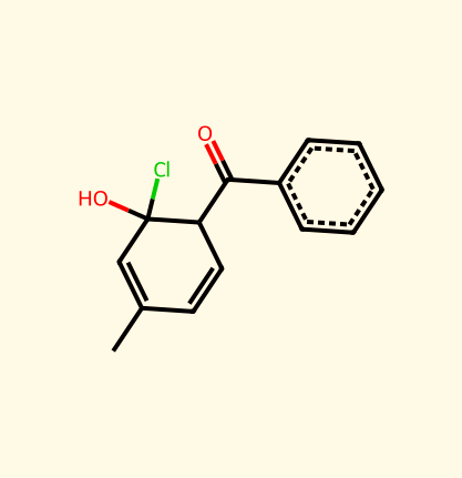 CC1=CC(O)(Cl)C(C(=O)c2ccccc2)C=C1